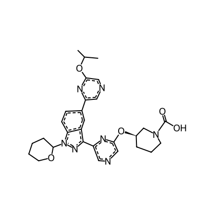 CC(C)Oc1cncc(-c2ccc3c(c2)c(-c2cncc(O[C@@H]4CCCN(C(=O)O)C4)n2)nn3C2CCCCO2)n1